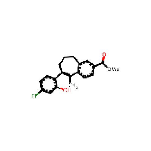 COC(=O)c1ccc2c(c1)CCCC(c1ccc(Cl)cc1O)=C2C